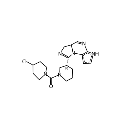 O=C(N1CCC(Cl)CC1)N1CCC[C@@H](C2=NCC3C=Nc4[nH]ccc4N23)C1